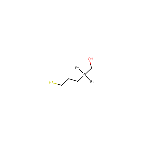 CC[Si](CC)(CO)CCCS